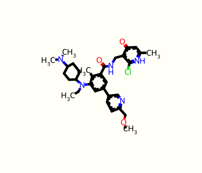 CCN(c1cc(-c2ccc(COC)nc2)cc(C(=O)NCc2c(Cl)[nH]c(C)cc2=O)c1C)C1CCC(N(C)C)CC1